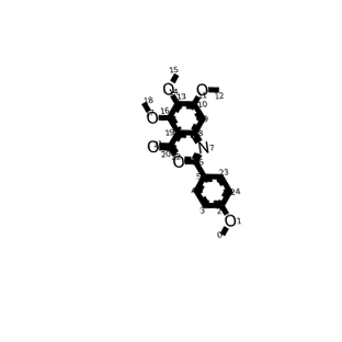 COc1ccc(-c2nc3cc(OC)c(OC)c(OC)c3c(=O)o2)cc1